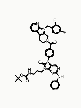 CC(C)(C)OC(=O)NCCCn1c(=O)n(-c2ccc(C(=O)N3CCc4c(n(Cc5ccc(F)cc5F)c5ncccc45)C3)cc2)c2cnc(Nc3ccccc3)nc21